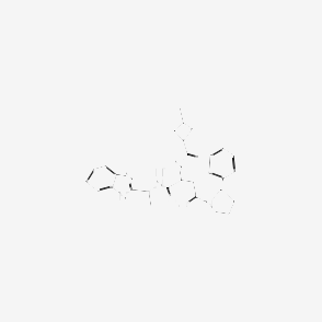 CC1CC(C(=O)NC(CC(=O)N2CCC[C@@H]2c2ccccc2)C(=O)NC(C)c2nc3ccccc3[nH]2)C1